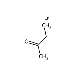 CCC(C)=O.[Li]